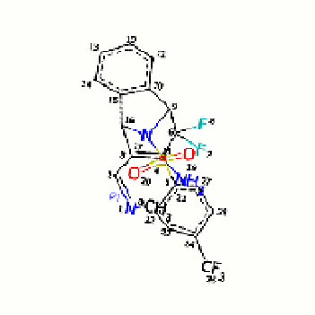 C/N=C\C1=C(N)C(F)(F)C2c3ccccc3C1N2S(=O)(=O)c1ccc(C(F)(F)F)cc1